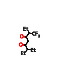 CCC(CC)C(=O)CC(=O)C(CC)C(F)(F)F